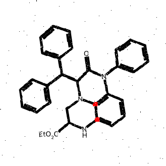 CCOC(=O)C1CN(C(C(=O)N(c2ccccc2)c2ccccc2)C(c2ccccc2)c2ccccc2)CCN1